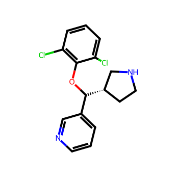 Clc1cccc(Cl)c1OC(c1cccnc1)[C@H]1CCNC1